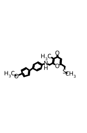 COc1ccc(-c2ccc(NCc3oc(CSC)cc(=O)c3C)cc2)cc1